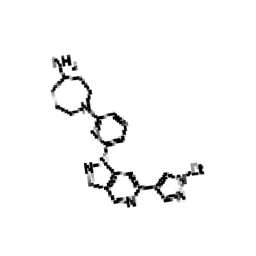 CCn1cc(-c2cc3c(cn2)cnn3-c2cccc(N3CCCC(N)CC3)n2)cn1